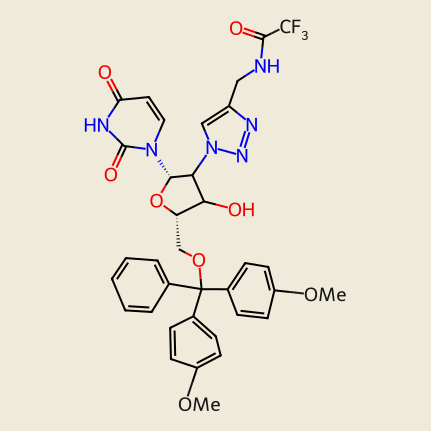 COc1ccc(C(OC[C@@H]2O[C@H](n3ccc(=O)[nH]c3=O)C(n3cc(CNC(=O)C(F)(F)F)nn3)C2O)(c2ccccc2)c2ccc(OC)cc2)cc1